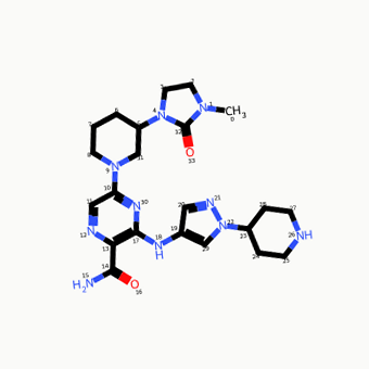 CN1CCN(C2CCCN(c3cnc(C(N)=O)c(Nc4cnn(C5CCNCC5)c4)n3)C2)C1=O